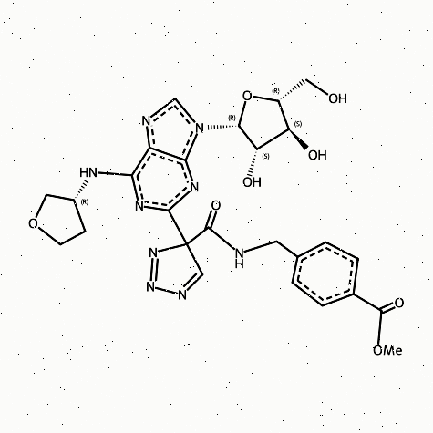 COC(=O)c1ccc(CNC(=O)C2(c3nc(N[C@@H]4CCOC4)c4ncn([C@@H]5O[C@H](CO)[C@@H](O)[C@@H]5O)c4n3)C=NN=N2)cc1